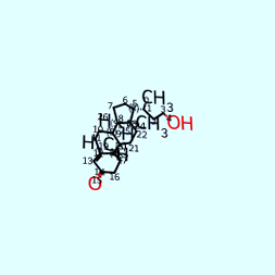 CC(CCO)[C@H]1CC[C@H]2[C@@H]3CCC4=CC(=O)CC[C@]4(C)[C@H]3CC[C@]12C